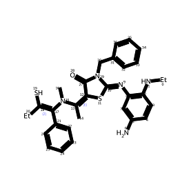 CCNc1ccc(N)cc1N=C1S/C(=C(\C)N(C)/C(=C(\S)CC)c2ccccc2)C(=O)N1Cc1ccccc1